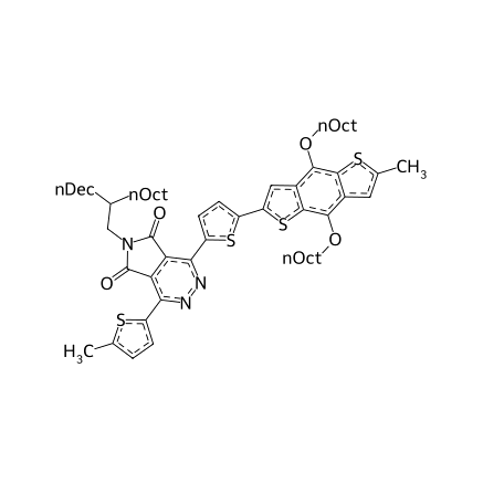 CCCCCCCCCCC(CCCCCCCC)CN1C(=O)c2c(-c3ccc(C)s3)nnc(-c3ccc(-c4cc5c(OCCCCCCCC)c6sc(C)cc6c(OCCCCCCCC)c5s4)s3)c2C1=O